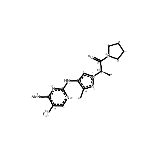 CNc1nc(Nc2cn([C@H](C)C(=O)N3CCCC3)nc2C)ncc1C(F)(F)F